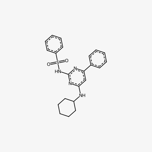 O=S(=O)(Nc1nc(NC2CCCCC2)cc(-c2ccccc2)n1)c1ccccc1